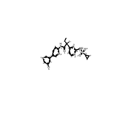 CCC(F)(C(=O)Nc1ccc(-c2cncc(Cl)c2)cn1)c1ccnc(NS(=O)(=O)C2CC2)n1